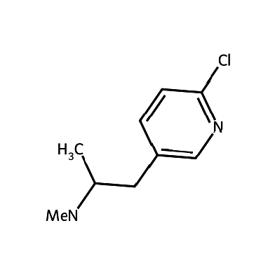 CNC(C)Cc1ccc(Cl)nc1